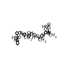 Cc1c(OC2CCC(OC[C@@H](C)N3CCN(c4ccc5c(C6CCC(=O)NC6=O)nn(C)c5c4)CC3)CC2)cccc1-c1ccc(N2CCc3cccc(C(=O)Nc4nc5ccccc5s4)c3C2)nc1C(=O)O